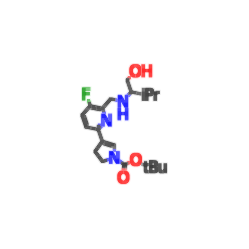 CC(C)C(CO)NCc1nc(C2=CN(C(=O)OC(C)(C)C)CC2)ccc1F